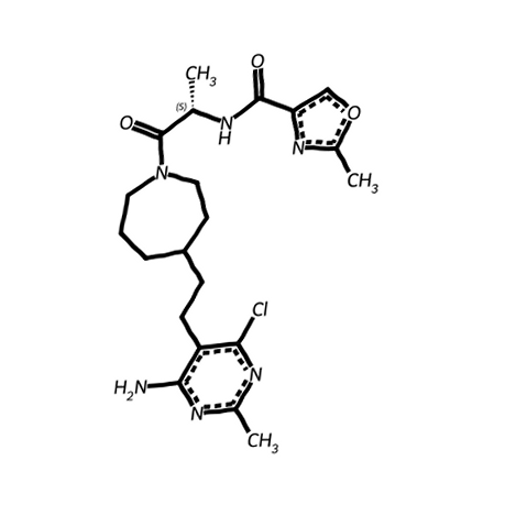 Cc1nc(N)c(CCC2CCCN(C(=O)[C@H](C)NC(=O)c3coc(C)n3)CC2)c(Cl)n1